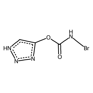 O=C(NBr)Oc1c[nH]nn1